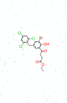 CCOC(=O)CCC(=O)c1cc(Cc2c(Cl)cc(Cl)cc2Cl)cc(Br)c1O